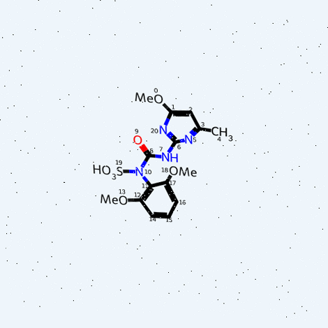 COc1cc(C)nc(NC(=O)N(c2c(OC)cccc2OC)S(=O)(=O)O)n1